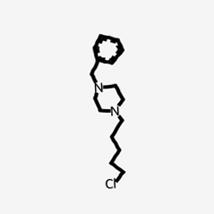 ClCCCCCN1CCN(Cc2ccccc2)CC1